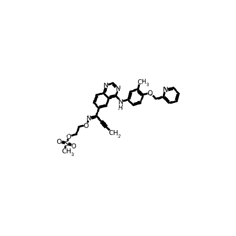 CC#C/C(=N\OCCOS(C)(=O)=O)c1ccc2ncnc(Nc3ccc(OCc4ccccn4)c(C)c3)c2c1